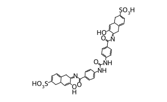 O=C(Nc1ccc(C(=O)N=C2CC3=CC=C(S(=O)(=O)O)CC3C=C2O)cc1)Nc1ccc(C(=O)N=C2CC3=CC=C(S(=O)(=O)O)CC3C=C2O)cc1